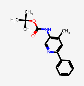 Cc1cc(-c2ccccc2)ncc1NC(=O)OC(C)(C)C